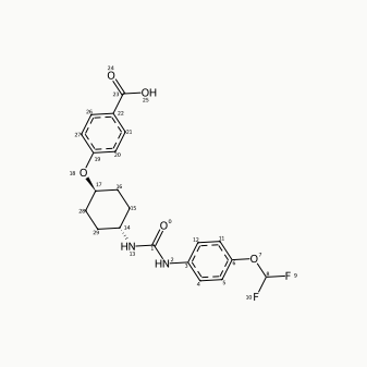 O=C(Nc1ccc(OC(F)F)cc1)N[C@H]1CC[C@H](Oc2ccc(C(=O)O)cc2)CC1